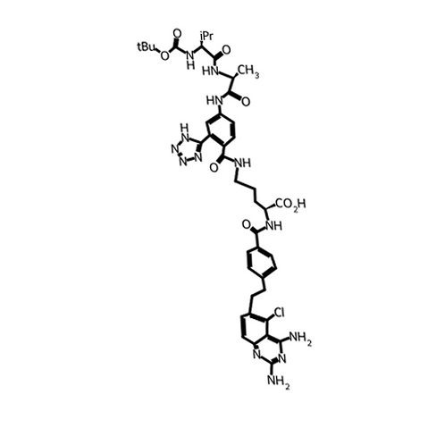 CC(C)[C@H](NC(=O)OC(C)(C)C)C(=O)N[C@@H](C)C(=O)Nc1ccc(C(=O)NCCC[C@H](NC(=O)c2ccc(CCc3ccc4nc(N)nc(N)c4c3Cl)cc2)C(=O)O)c(-c2nnn[nH]2)c1